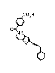 O=C(O)c1ccc(C(=O)N2C=Cc3sc(C#CCc4ccccc4)cc3S2)cc1